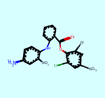 CCc1cc([N+](=O)[O-])cc(Cl)c1OC(=O)c1ccccc1Nc1ccc(N)cc1[N+](=O)[O-]